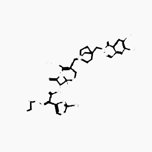 Nc1nc(/C(=N/O[C@@H](CC(=O)O)C(=O)O)C(=O)N[C@@H]2C(=O)N3C(C(=O)O)=C(C[N+]45CCC(Cn6ncc7cc(O)c(O)cc7c6=O)(CC4)C5)CS[C@H]23)cs1